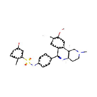 CCOc1cc2c(cc1OC)C(c1ccc(NS(=O)(=O)c3cc(O)ccc3C)cc1)=N[C@@H]1CCN(C)C[C@H]21